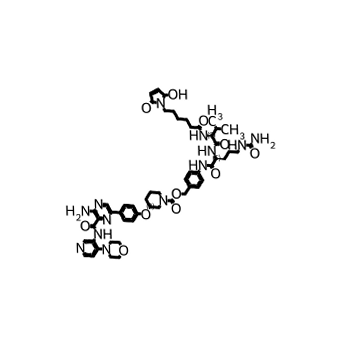 CC(C)[C@H](NC(=O)CCCCCN1C(=O)C=CC1O)C(=O)N[C@@H](CCCNC(N)=O)C(=O)Nc1ccc(COC(=O)N2CCC[C@@H](Oc3ccc(-c4cnc(N)c(C(=O)Nc5cnccc5N5CCOCC5)n4)cc3)C2)cc1